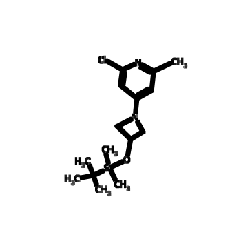 Cc1cc(N2CC(O[Si](C)(C)C(C)(C)C)C2)cc(Cl)n1